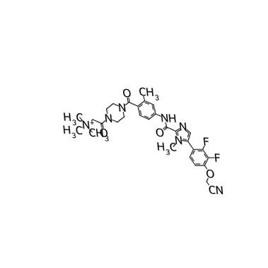 Cc1cc(NC(=O)c2ncc(-c3ccc(OCC#N)c(F)c3F)n2C)ccc1C(=O)N1CCN(C(=O)C[N+](C)(C)C)CC1